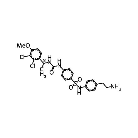 COc1ccc([C@H](C)NC(=O)Nc2ccc(S(=O)(=O)Nc3ccc(CCN)cc3)cc2)c(Cl)c1Cl